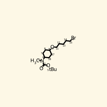 CN(C(=O)OC(C)(C)C)C1CCC(OCCCCCBr)CC1